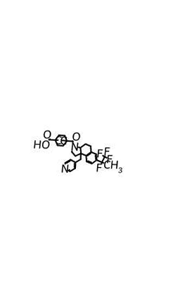 CC(F)(c1ccc2c(c1)CCC1N(C(=O)C34CCC(C(=O)O)(CC3)CC4)CCC21Cc1ccncc1)C(F)(F)F